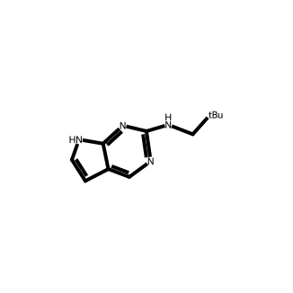 CC(C)(C)CNc1ncc2cc[nH]c2n1